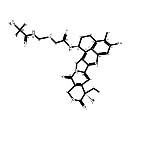 CC[C@@]1(O)C(=O)OCc2c1cc1n(c2=O)Cc2c-1nc1cc(F)c(C)c3c1c2[C@@H](NC(=O)COCNC(=O)C(C)(C)N)CC3